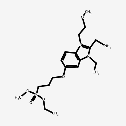 CCOP(=O)(CCCOc1ccc2c(c1)n(CC)c(CN)[n+]2CCOC)OC